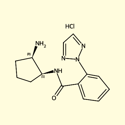 Cl.N[C@@H]1CCC[C@@H]1NC(=O)c1ccccc1-n1nccn1